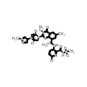 Cc1cc([C@@H](C)Nc2ccc(Cl)nc2C(=O)NS(C)(=O)=O)c2nc(N3C[C@H]4C[C@@H]3CN4c3cnn(C)c3)n(C)c(=O)c2c1